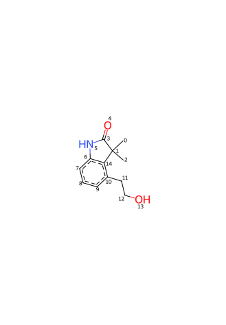 CC1(C)C(=O)Nc2cccc(CCO)c21